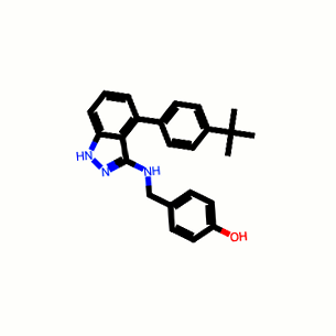 CC(C)(C)c1ccc(-c2cccc3[nH]nc(NCc4ccc(O)cc4)c23)cc1